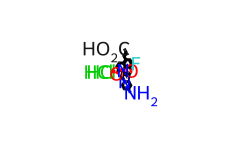 Cl.Cl.NC1CCN(C[C@@H]2COc3c(F)cc(C=CC(=O)O)c4ccc(=O)n2c34)CC1